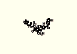 CC(NC(=O)Cn1cnnn1)[C@H]1C(=O)N2C(C(=O)O)=C(S[C@@H]3CN[C@H](C(=O)N4CC5CCNC5C4)C3)[C@H](C)[C@H]12